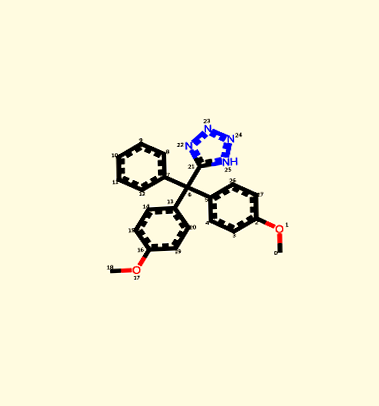 COc1ccc(C(c2ccccc2)(c2ccc(OC)cc2)c2nnn[nH]2)cc1